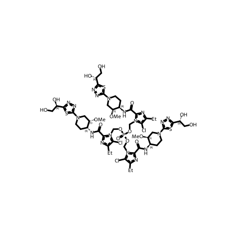 CCc1nc(C(=O)N[C@@H]2CCN(c3nnc([C@H](O)CO)s3)C[C@@H]2OC)n(COP(=O)(OCn2c(C(=O)N[C@@H]3CCN(c4nnc([C@H](O)CO)s4)C[C@@H]3OC)nc(CC)c2Cl)OCn2c(C(=O)N[C@@H]3CCN(c4nnc([C@H](O)CO)s4)C[C@@H]3OC)nc(CC)c2Cl)c1Cl